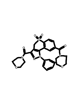 O=C(c1ccc2c(c1)-c1c(c(C(=O)N3CCOCC3)nn1-c1ccccc1)CS2(=O)=O)N1CCOCC1